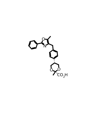 Cc1oc(-c2ccccc2)nc1Cc1ccc([C@H]2CO[C@@](C)(C(=O)O)OC2)cc1